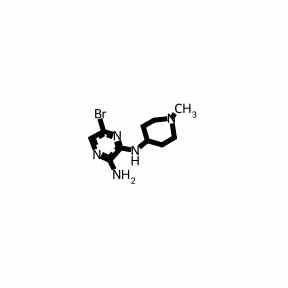 CN1CCC(Nc2nc(Br)cnc2N)CC1